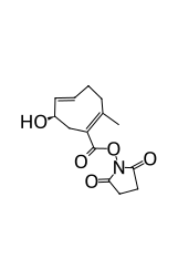 C/C1=C(\C(=O)ON2C(=O)CCC2=O)C[C@@H](O)/C=C/CC1